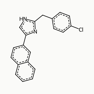 Clc1ccc(Cc2nc(-c3ccc4ccccc4c3)c[nH]2)cc1